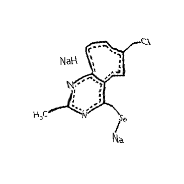 Cc1nc([Se][Na])c2cc(Cl)ccc2n1.[NaH]